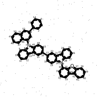 c1ccc(-c2cc(-n3c4ccccc4c4cc(-c5ccc6c(c5)c5ccccc5n6-c5cccc6c5oc5ccccc56)ccc43)c3ccccc3c2)cc1